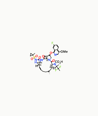 CC[C@@H]1C[C@H](C)CCC=C[C@@H]2C[C@@]2(C(=O)NS(=O)(=O)C2(C)CC2)NC(=O)[C@@H]2C[C@@H](Oc3ncc(OC)c4ccc(F)cc34)CN2C(=O)[C@H]1N(C(=O)O)C(C)(C)C(C)(F)F